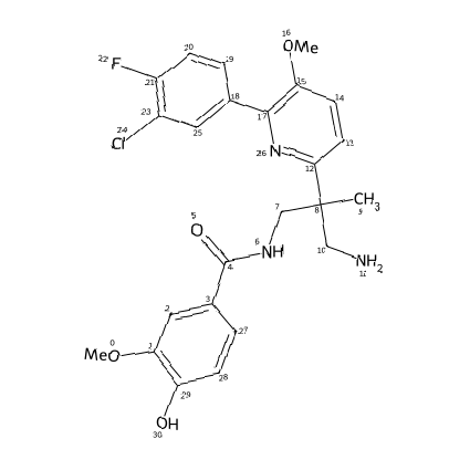 COc1cc(C(=O)NCC(C)(CN)c2ccc(OC)c(-c3ccc(F)c(Cl)c3)n2)ccc1O